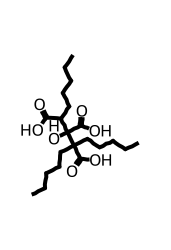 CCCCCC(C(=O)O)C(O)(C(=O)O)C(CCCCC)(CCCCC)C(=O)O